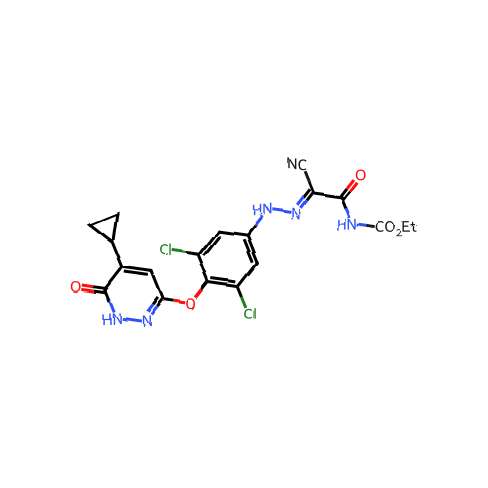 CCOC(=O)NC(=O)/C(C#N)=N/Nc1cc(Cl)c(Oc2cc(C3CC3)c(=O)[nH]n2)c(Cl)c1